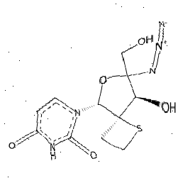 [N-]=[N+]=NC1(CO)O[C@@H](n2ccc(=O)[nH]c2=O)[C@@]2(CCS2)[C@@H]1O